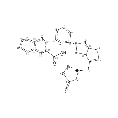 CC(C)(C)OC(=O)CNCC1=CSC2=NC(c3ccccc3NC(=O)c3cnc4ccccc4n3)CN12